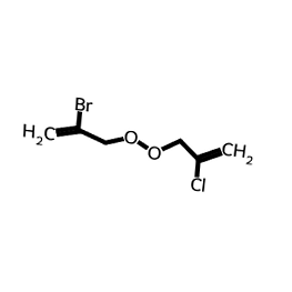 C=C(Cl)COOCC(=C)Br